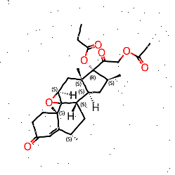 CCC(=O)O[C@]1(C(=O)COC(C)=O)[C@@H](C)C[C@H]2[C@@H]3C[C@H](C)C4=CC(=O)CC[C@]4(C)C34O[C@H]4C[C@@]21C